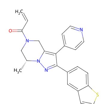 C=CC(=O)N1Cc2c(-c3ccncc3)c(-c3ccc4sccc4c3)nn2[C@H](C)C1